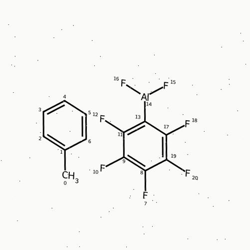 Cc1ccccc1.Fc1c(F)c(F)[c]([Al]([F])[F])c(F)c1F